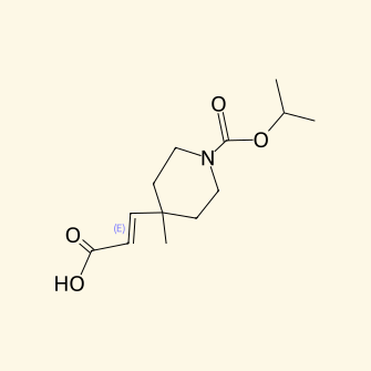 CC(C)OC(=O)N1CCC(C)(/C=C/C(=O)O)CC1